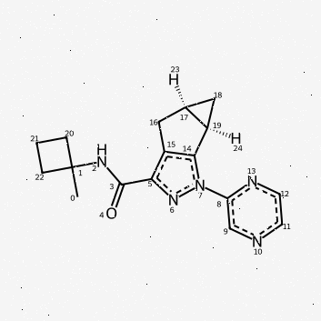 CC1(NC(=O)c2nn(-c3cnccn3)c3c2C[C@H]2C[C@@H]32)CCC1